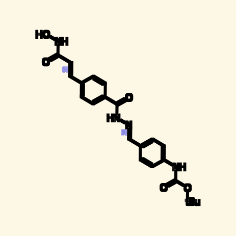 CC(C)(C)OC(=O)Nc1ccc(/C=N/NC(=O)c2ccc(/C=C/C(=O)NO)cc2)cc1